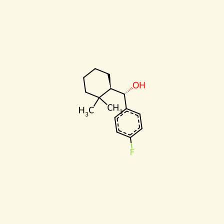 CC1(C)CCCC[C@H]1[C@H](O)c1ccc(F)cc1